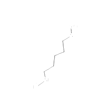 [CH2]CCCNCCCCCNCC